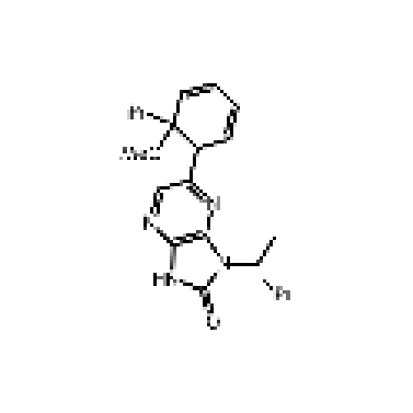 COC1(C(C)C)C=CC=CC1c1cnc2[nH]c(=O)n([C@H](C)C(C)C)c2n1